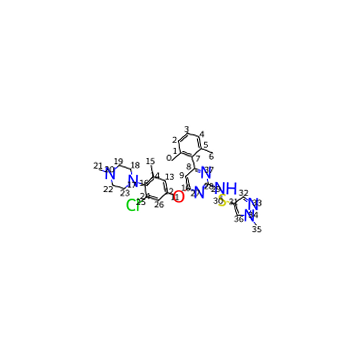 Cc1cccc(C)c1-c1cc(Oc2cc(C)c(N3CCN(C)CC3)c(Cl)c2)nc(NSc2cnn(C)c2)n1